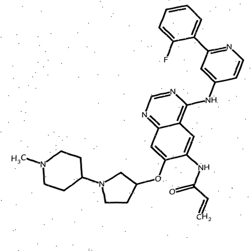 C=CC(=O)Nc1cc2c(Nc3ccnc(-c4ccccc4F)c3)ncnc2cc1OC1CCN(C2CCN(C)CC2)C1